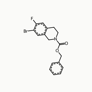 O=C(OCc1ccccc1)N1CCc2cc(F)c(Br)cc2C1